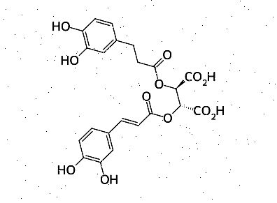 O=C(/C=C/c1ccc(O)c(O)c1)O[C@@H](C(=O)O)[C@@H](OC(=O)CCc1ccc(O)c(O)c1)C(=O)O